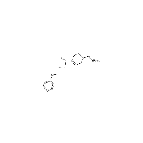 CCCCCC(C)C1CC=C(C(C)CCCOc2ccccc2)CC1